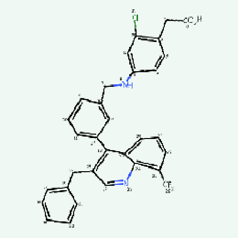 O=C(O)Cc1ccc(NCc2cccc(-c3c(Cc4ccccc4)cnc4c(C(F)(F)F)cccc34)c2)cc1Cl